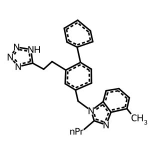 CCCc1nc2c(C)cccc2n1Cc1ccc(-c2ccccc2)c(CCc2nnn[nH]2)c1